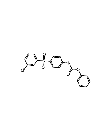 O=C(Nc1ccc(S(=O)(=O)c2cccc(Cl)c2)cc1)Oc1ccccc1